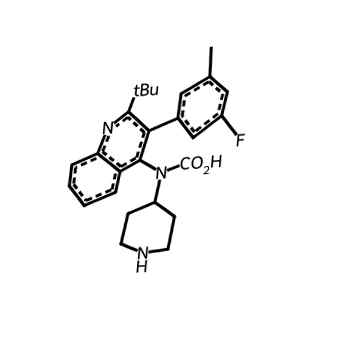 Cc1cc(F)cc(-c2c(C(C)(C)C)nc3ccccc3c2N(C(=O)O)C2CCNCC2)c1